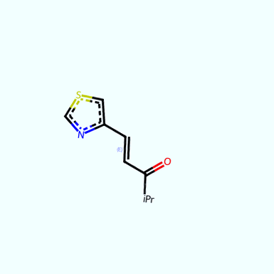 CC(C)C(=O)/C=C/c1cscn1